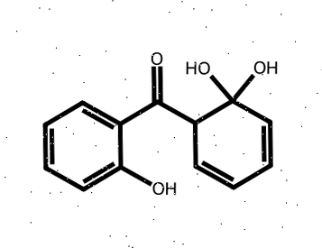 O=C(c1ccccc1O)C1C=CC=CC1(O)O